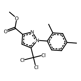 COC(=O)c1cc(C(Cl)(Cl)Cl)n(-c2ccc(C)cc2C)n1